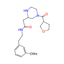 COc1cccc(CCNC(=O)CC2CN(C(=O)C3CCOC3)CCN2)c1